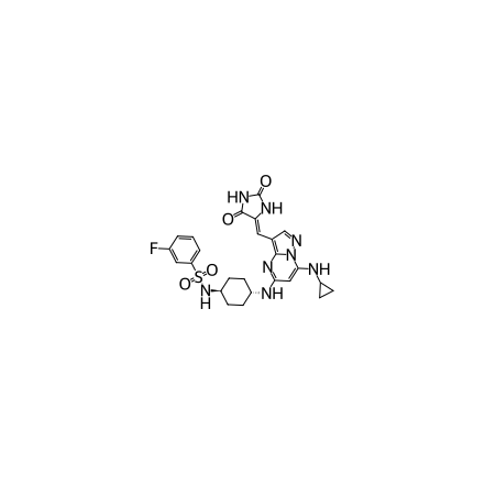 O=C1NC(=O)/C(=C/c2cnn3c(NC4CC4)cc(N[C@H]4CC[C@H](NS(=O)(=O)c5cccc(F)c5)CC4)nc23)N1